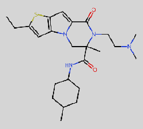 CCc1cc2c(cc3n2CC(C)(C(=O)NC2CCC(C)CC2)N(CCN(C)C)C3=O)s1